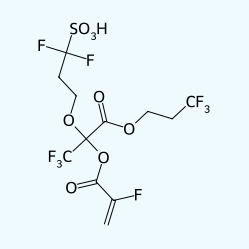 C=C(F)C(=O)OC(OCCC(F)(F)S(=O)(=O)O)(C(=O)OCCC(F)(F)F)C(F)(F)F